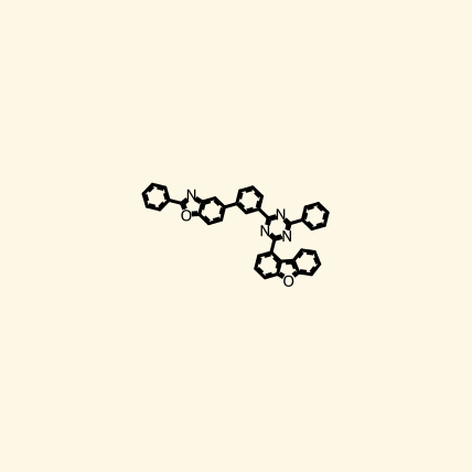 c1ccc(-c2nc(-c3cccc(-c4ccc5oc(-c6ccccc6)nc5c4)c3)nc(-c3cccc4oc5ccccc5c34)n2)cc1